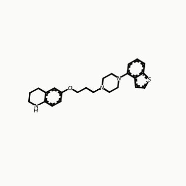 c1cc(N2CCN(CCCOc3ccc4c(c3)CCCN4)CC2)c2ccsc2c1